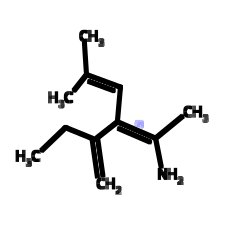 C=C(CC)/C(C=C(C)C)=C(/C)N